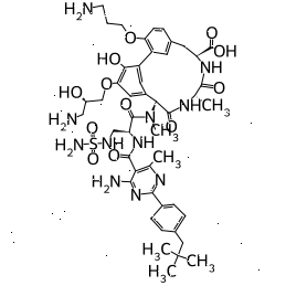 Cc1nc(-c2ccc(CC(C)(C)C)cc2)nc(N)c1C(=O)N[C@@H](CNS(N)(=O)=O)C(=O)N(C)[C@@H]1C(=O)N[C@@H](C)C(=O)N[C@H](C(=O)O)Cc2ccc(OCCCN)c(c2)-c2cc1cc(OC[C@H](O)CN)c2O